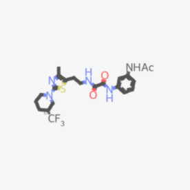 CC(=O)Nc1cccc(NC(=O)C(=O)NCCc2sc(N3CCC[C@H](C(F)(F)F)C3)nc2C)c1